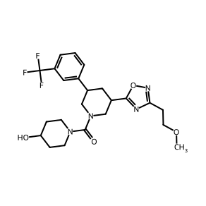 COCCc1noc(C2CC(c3cccc(C(F)(F)F)c3)CN(C(=O)N3CCC(O)CC3)C2)n1